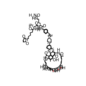 CC(=O)O[C@H]1[C@H](C)[C@H](O)[C@H](C)[C@@H](O)[C@@H](C)/C=C/C=C(/C)C(=O)Nc2c3sc4cc(N5CCC([N+](C)(C)Cc6ccc(NC(=O)[C@H](CCCNC(N)=O)NC(=O)[C@@H](NC(=O)CCCCCN7C(=O)C=CC7=O)C(C)C)cc6)CC5)ccc4nc-3c3c4c(c(C)c(O)c3c2=O)O[C@](C)(O/C=C/[C@H](O)[C@H]1C)C4=O